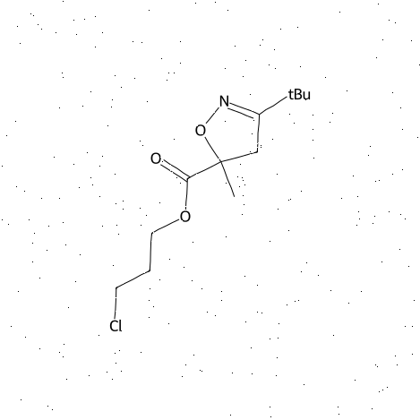 CC(C)(C)C1=NOC(C)(C(=O)OCCCCl)C1